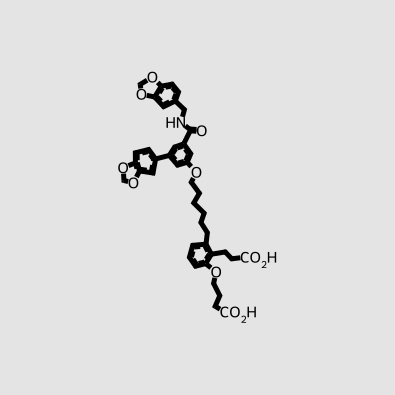 O=C(O)CCCOc1cccc(CCCCCCOc2cc(C(=O)NCc3ccc4c(c3)OCO4)cc(-c3ccc4c(c3)OCO4)c2)c1CCC(=O)O